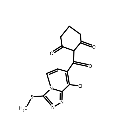 CSc1nnc2c(Cl)c(C(=O)C3C(=O)CCCC3=O)ccn12